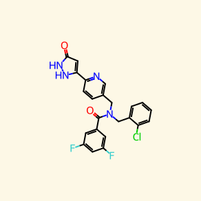 O=C(c1cc(F)cc(F)c1)N(Cc1ccc(-c2cc(=O)[nH][nH]2)nc1)Cc1ccccc1Cl